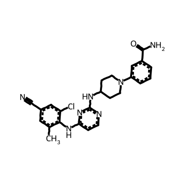 Cc1cc(C#N)cc(Cl)c1Nc1ccnc(NC2CCN(c3cccc(C(N)=O)c3)CC2)n1